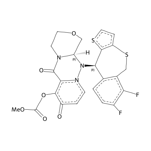 COC(=O)Oc1c2n(ccc1=O)N([C@@H]1c3ccc(F)c(F)c3CSc3ccsc31)[C@@H]1COCCN1C2=O